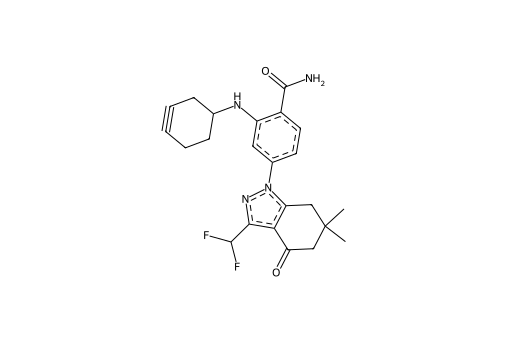 CC1(C)CC(=O)c2c(C(F)F)nn(-c3ccc(C(N)=O)c(NC4CC#CCC4)c3)c2C1